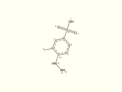 Cc1cc(S(=O)(=O)O)ccc1NN